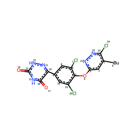 CCC(C)c1cc(Oc2c(Cl)cc(-c3n[nH]c(=O)[nH]c3=O)cc2Cl)nnc1Cl